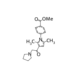 COC(=O)c1ccc(-n2c(C)cc(C(=O)CN3CCCC3)c2C)cc1